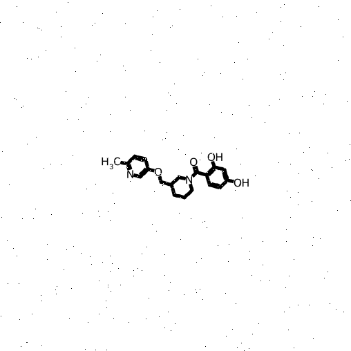 Cc1ccc(OCC2CCCN(C(=O)c3ccc(O)cc3O)C2)cn1